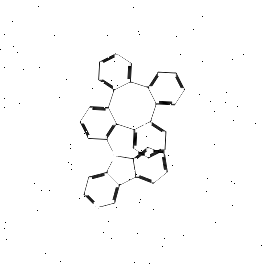 c1ccc2c(c1)-c1ccccc1-c1cccc(-n3c4ccccc4c4cnccc43)c1-c1ccccc1-2